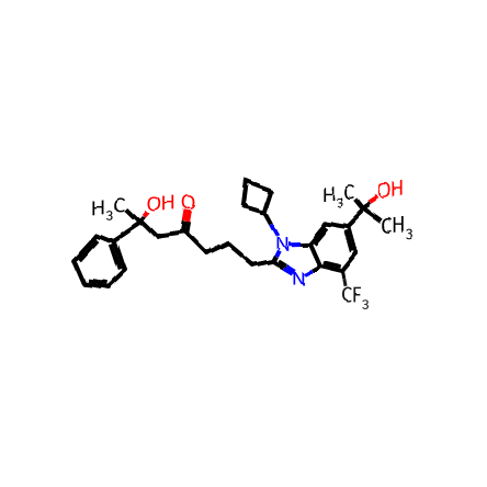 CC(C)(O)c1cc(C(F)(F)F)c2nc(CCCC(=O)CC(C)(O)c3ccccc3)n(C3CCC3)c2c1